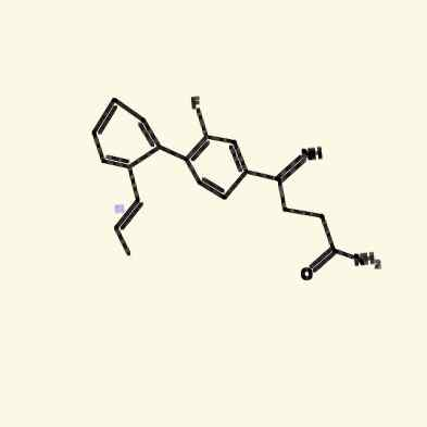 C/C=C/c1ccccc1-c1ccc(C(=N)CCC(N)=O)cc1F